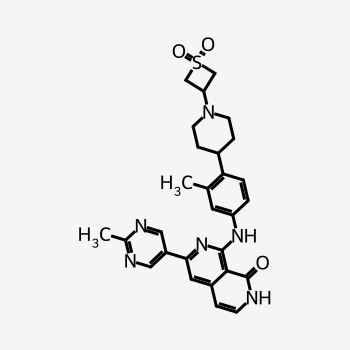 Cc1ncc(-c2cc3cc[nH]c(=O)c3c(Nc3ccc(C4CCN(C5CS(=O)(=O)C5)CC4)c(C)c3)n2)cn1